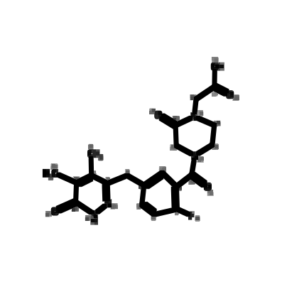 Cc1c(Cc2ccc(F)c(C(=O)N3CCN(CC(=O)O)C(=O)C3)c2)n[nH]c(=O)c1C